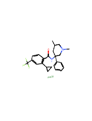 CC1CN(C)CC(NC(=O)c2ccc(C(F)(F)F)cc2C2CC2)(c2ccccc2)C1.Cl